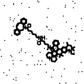 CCN1c2cc3c(cc2C(C)CC1(C)C)C(c1ccccc1C(=O)N(C)CCCC(=O)NCCCCCC(=O)N1Cc2ccccc2/C=C\c2ccccc21)=c1cc2c4c(c1C3(C)C)CCC[N+]=4CCC2